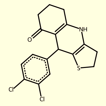 O=C1CCCC2=C1C(c1ccc(Cl)c(Cl)c1)C1=C(CCS1)N2